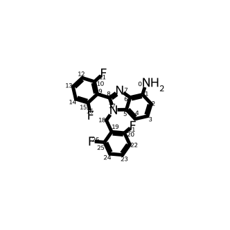 Nc1cccc2c1nc(-c1c(F)cccc1F)n2Cc1c(F)cccc1F